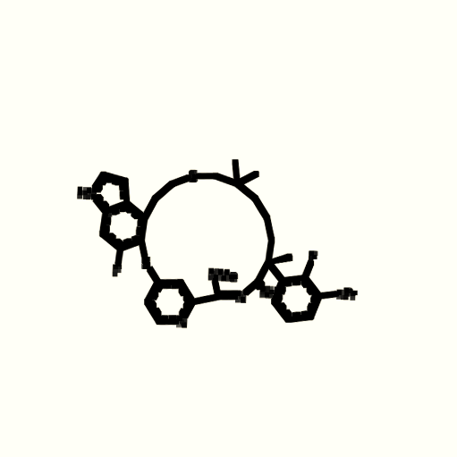 CCCc1cccc([C@@]2(C)CCCC(C)(C)CSCCc3c(c(F)cc4[nH]ccc34)Sc3ccnc(c3)/C(NC)=N/C2=N)c1F